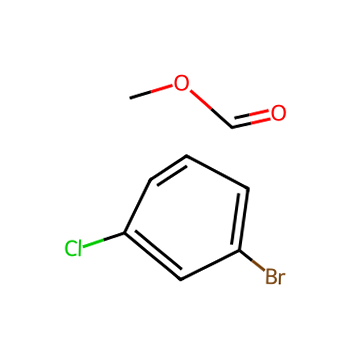 COC=O.Clc1cccc(Br)c1